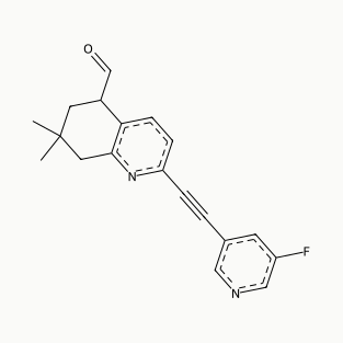 CC1(C)Cc2nc(C#Cc3cncc(F)c3)ccc2C(C=O)C1